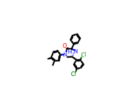 Cc1ccc(N(CCc2cc(Cl)ccc2Cl)C(=O)C(N)c2ccccc2)cc1C